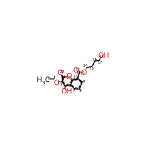 CCOc1c(O)c2cccc(C(=O)OCCCCO)c2oc1=O